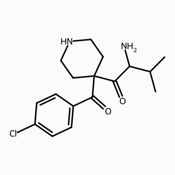 CC(C)C(N)C(=O)C1(C(=O)c2ccc(Cl)cc2)CCNCC1